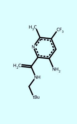 C=C(NCC(C)(C)C)c1nc(C)c(C(F)(F)F)cc1N